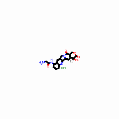 CCC1(O)C(=O)OCc2c1cc1n(c2=O)Cc2cc3c(NC(=O)CN)cccc3nc2-1.Cl